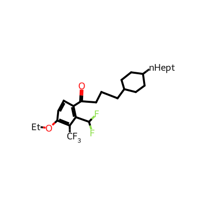 CCCCCCCC1CCC(CCCC(=O)c2ccc(OCC)c(C(F)(F)F)c2C(F)F)CC1